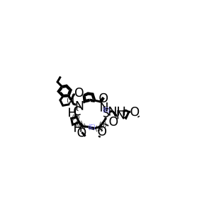 CCc1ccc2c(c1)CCC[C@]21COc2ccc3cc2N(C[C@@H]2CC[C@H]2[C@@H](OC)/C=C/[C@H](OC)[C@H](C)C/S(NC(=O)N2CC(OC)C2)=N\C3=O)C1